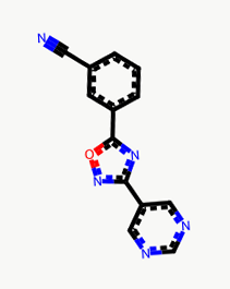 N#Cc1cccc(-c2nc(-c3cncnc3)no2)c1